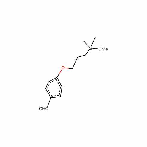 CO[Si](C)(C)CCCOc1ccc(C=O)cc1